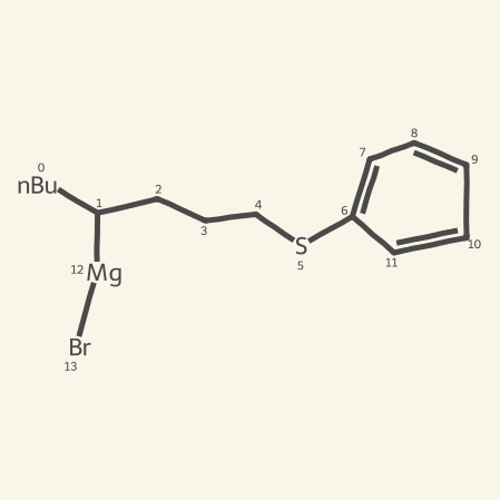 CCCC[CH](CCCSc1ccccc1)[Mg][Br]